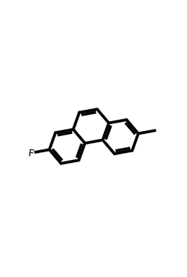 Cc1ccc2c(ccc3cc(F)ccc32)c1